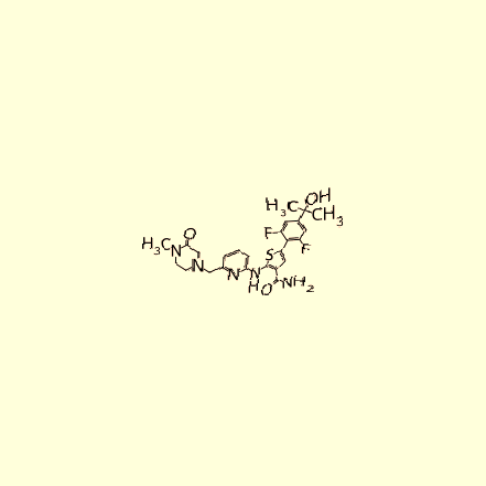 CN1CCN(Cc2cccc(Nc3sc(-c4c(F)cc(C(C)(C)O)cc4F)cc3C(N)=O)n2)CC1=O